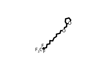 FC(F)(F)C(F)(F)CCCCCCCCCCOCCC1CCCCO1